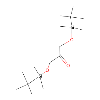 CC(C)(C)[Si](C)(C)OCC(=O)CO[Si](C)(C)C(C)(C)C